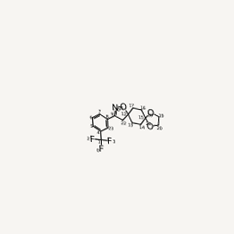 FC(F)(F)c1cccc(C2=NOC3(CCC4(CC3)OCCO4)C2)c1